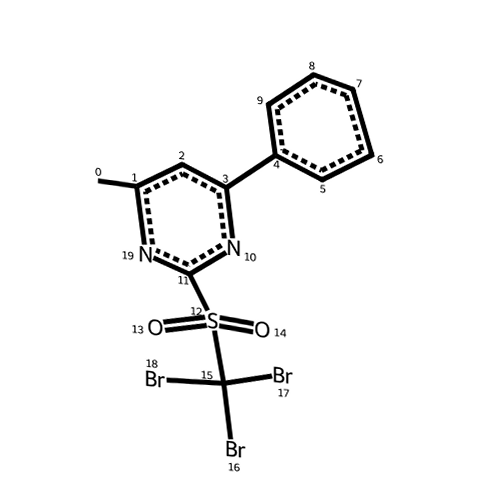 Cc1cc(-c2ccccc2)nc(S(=O)(=O)C(Br)(Br)Br)n1